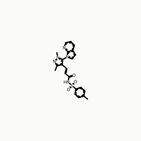 Cc1ccc(S(=O)(=O)NC(=O)C=Cc2c(C)nn(C)c2-n2ccc3cccnc32)cc1